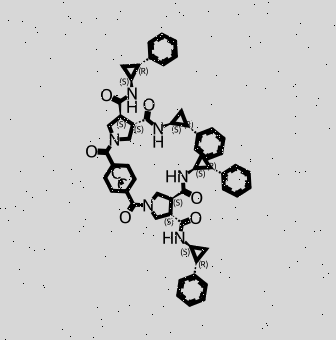 O=C(N[C@H]1C[C@@H]1c1ccccc1)[C@@H]1CN(C(=O)C23CCC(C(=O)N4C[C@@H](C(=O)N[C@H]5C[C@@H]5c5ccccc5)[C@H](C(=O)N[C@H]5C[C@@H]5c5ccccc5)C4)(CC2)CC3)C[C@H]1C(=O)N[C@H]1C[C@@H]1c1ccccc1